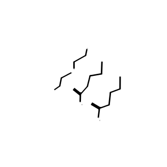 CCCCC(=O)O.CCCCC(=O)O.OCCOCCO